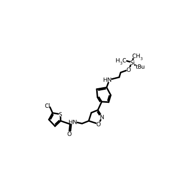 CC(C)(C)[Si](C)(C)OCCNc1ccc(C2=NOC(CNC(=O)c3ccc(Cl)s3)C2)cc1